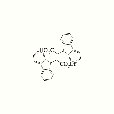 CCOC(=O)C(C1c2ccccc2-c2ccccc21)C(C(=O)O)C1c2ccccc2-c2ccccc21